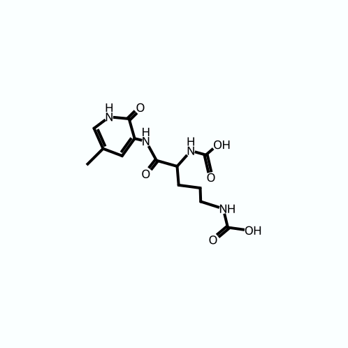 Cc1c[nH]c(=O)c(NC(=O)C(CCCNC(=O)O)NC(=O)O)c1